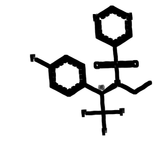 CCN([C@H](c1ccc(F)cc1)C(F)(F)F)S(=O)(=O)c1cncnc1